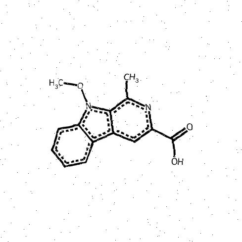 COn1c2ccccc2c2cc(C(=O)O)nc(C)c21